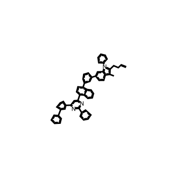 C=CCCc1c(C)c2ccc(-c3cccc(-c4ccc(-c5cc(-c6cccc(-c7ccccc7)c6)nc(-c6ccccc6)n5)c5ccccc45)c3)cc2n1-c1ccccc1